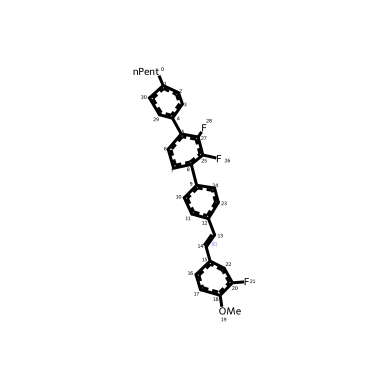 CCCCCc1ccc(-c2ccc(-c3ccc(/C=C/c4ccc(OC)c(F)c4)cc3)c(F)c2F)cc1